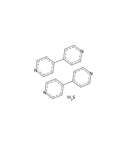 S.c1cc(-c2ccncc2)ccn1.c1cc(-c2ccncc2)ccn1